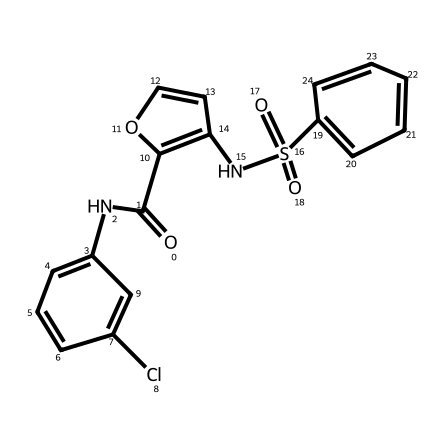 O=C(Nc1cccc(Cl)c1)c1occc1NS(=O)(=O)c1ccccc1